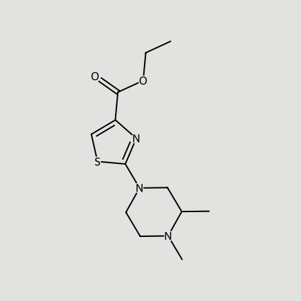 CCOC(=O)c1csc(N2CCN(C)C(C)C2)n1